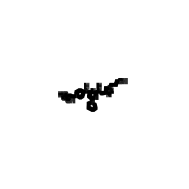 O=P(O)(O)CCN1CCC(Nc2cc(N3CCCCC3)nc(NCc3cn(CCCO)nn3)n2)CC1